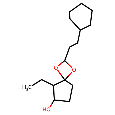 CCC1C(O)CCC12OC(CCC1CCCCC1)O2